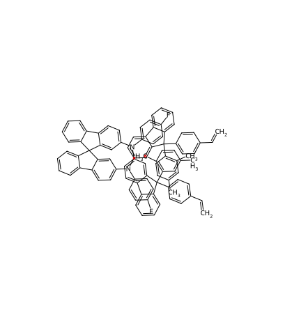 C=Cc1ccc(C2(c3ccc(C)cc3C)c3ccccc3-c3ccc(N(c4ccc(F)cc4)c4ccc5c(c4)C4(c6ccccc6-5)c5ccccc5-c5ccc(N(c6ccc(F)cc6)c6ccc7c(c6)C(c6ccc(C=C)cc6)(c6cc(C)ccc6C)c6ccccc6-7)cc54)cc32)cc1